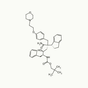 CC(C)(C)COC(=O)N[C@@H](Cc1ccccc1)[C@@H](O)C[C@@](Cc1ccc(OCCN2CCOCC2)cc1)(C(N)=O)[C@H]1CCc2ccccc21